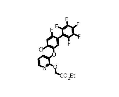 CCOC(=O)COc1ncccc1Oc1cc(-c2c(F)c(F)c(F)c(F)c2F)c(F)cc1Cl